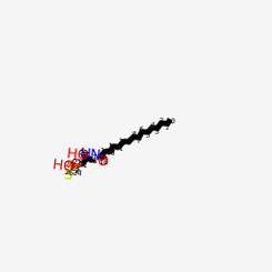 CCCCCCCCCCCCCCCC(=O)NCC(O)COP(C)(O)=S